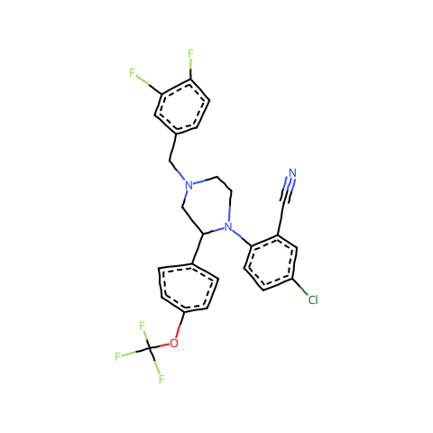 N#Cc1cc(Cl)ccc1N1CCN(Cc2ccc(F)c(F)c2)CC1c1ccc(OC(F)(F)F)cc1